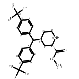 COC(=O)[C@@H]1CN(C(c2ccc(C(F)(F)F)cc2)c2ccc(C(F)(F)F)cc2)CCN1